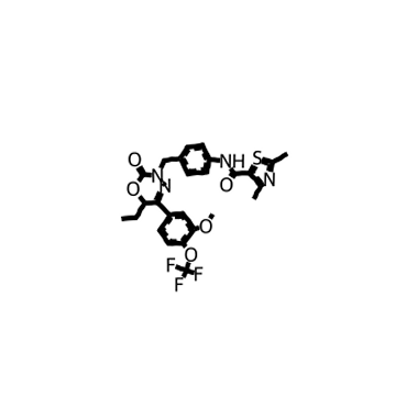 CCC1OC(=O)N(Cc2ccc(NC(=O)c3sc(C)nc3C)cc2)N=C1c1ccc(OC(F)(F)F)c(OC)c1